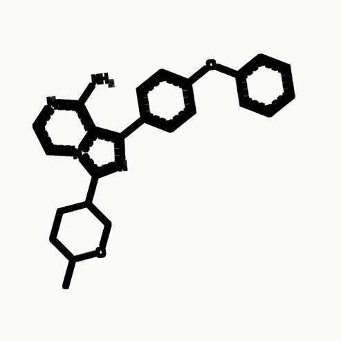 CC1CCC(c2nc(-c3ccc(Oc4ccccc4)cc3)c3c(N)nccn23)CO1